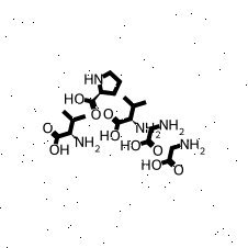 CC(C)[C@H](N)C(=O)O.CC(C)[C@H](N)C(=O)O.NCC(=O)O.NCC(=O)O.O=C(O)[C@@H]1CCCN1